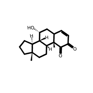 C[C@@]12CCC[C@H]1[C@@H]1[C@H](O)CC3C=CC(=O)C(=O)[C@]3(C)[C@H]1CC2